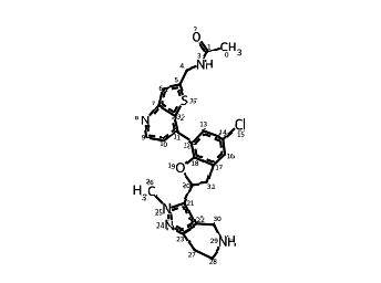 CC(=O)NCc1cc2nccc(-c3cc(Cl)cc4c3OC(c3c5c(nn3C)CCNC5)C4)c2s1